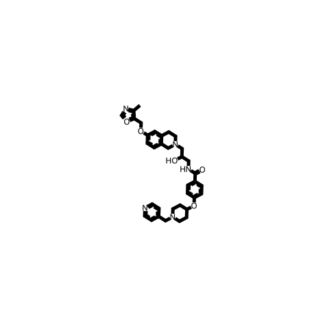 Cc1ncoc1COc1ccc2c(c1)CCN(CC(O)CNC(=O)c1ccc(OC3CCN(Cc4ccncc4)CC3)cc1)C2